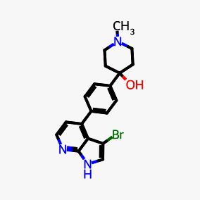 CN1CCC(O)(c2ccc(-c3ccnc4[nH]cc(Br)c34)cc2)CC1